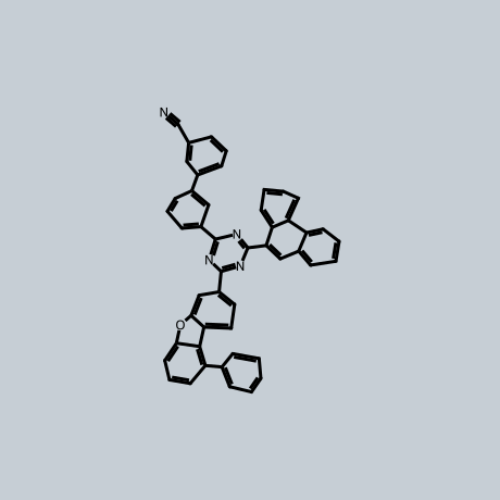 N#Cc1cccc(-c2cccc(-c3nc(-c4ccc5c(c4)oc4cccc(-c6ccccc6)c45)nc(-c4cc5ccccc5c5ccccc45)n3)c2)c1